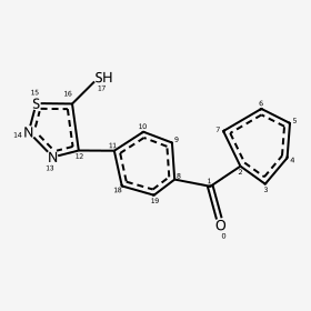 O=C(c1ccccc1)c1ccc(-c2nnsc2S)cc1